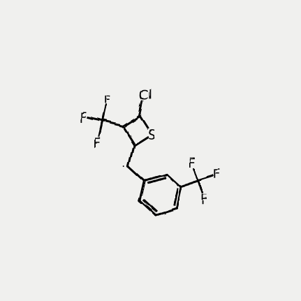 FC(F)(F)c1cccc([CH]C2SC(Cl)C2C(F)(F)F)c1